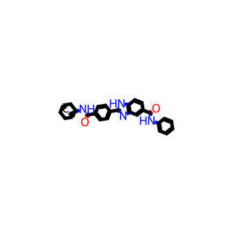 O=C(Nc1ccccc1)c1ccc2[nH]c(-c3ccc(C(=O)NC4CC5CCC4CC5)cc3)nc2c1